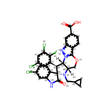 O=C(O)c1ccc2c3n(nc2c1)[C@@H]1[C@H](CO3)N(CC2CC2)[C@@]2(C(=O)Nc3cc(Cl)ccc32)[C@H]1c1cc(Cl)cc(Cl)c1F